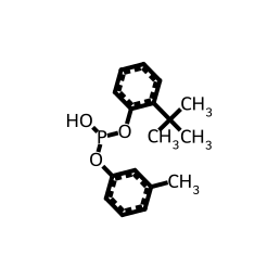 Cc1cccc(OP(O)Oc2ccccc2C(C)(C)C)c1